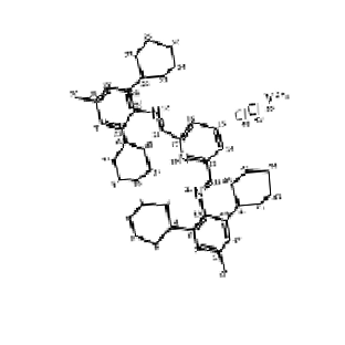 Cc1cc(C2CCCCC2)c(N=Cc2cccc(C=Nc3c(C4CCCCC4)cc(C)cc3C3CCCCC3)n2)c(C2CCCCC2)c1.[Cl-].[Cl-].[V+2]